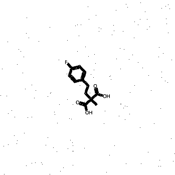 CC(CCc1ccc(F)cc1)(C(=O)O)C(=O)O